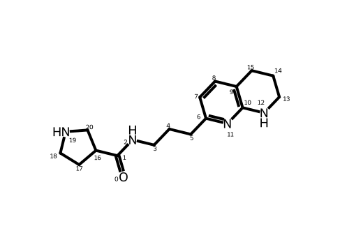 O=C(NCCCc1ccc2c(n1)NCCC2)C1CCNC1